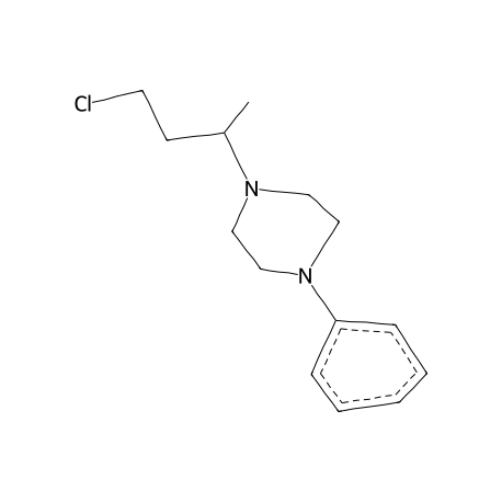 CC(CCCl)N1CCN(c2ccccc2)CC1